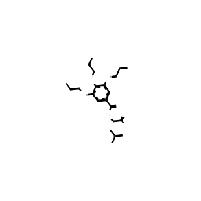 CCCOc1cc(C(=O)N[C@@H](CC(C)C)C(=O)O)cc(OCCC)c1OCCC